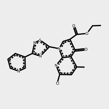 CCOC(=O)c1cn(-c2nc(-c3cccnc3)ns2)c2nc(Cl)cc(C)c2c1=O